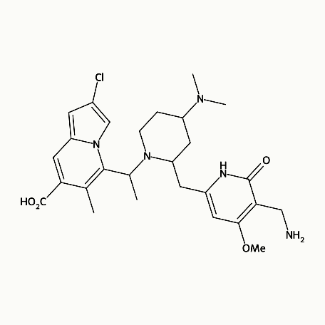 COc1cc(CC2CC(N(C)C)CCN2C(C)c2c(C)c(C(=O)O)cc3cc(Cl)cn23)[nH]c(=O)c1CN